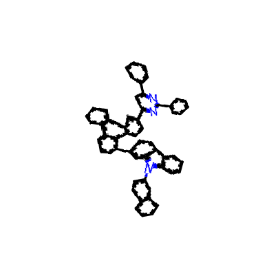 c1ccc(-c2cc(-c3ccc4c(c3)c3ccccc3c3cccc(-c5ccc6c7ccccc7n(-c7ccc8ccccc8c7)c6c5)c34)nc(-c3ccccc3)n2)cc1